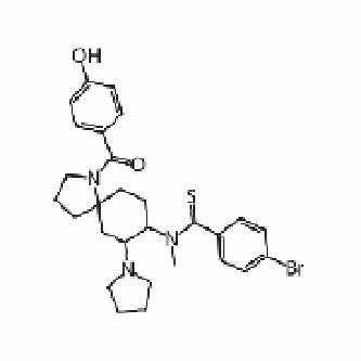 CN(C(=S)c1ccc(Br)cc1)C1CCC2(CCCN2C(=O)c2ccc(O)cc2)CC1N1CCCC1